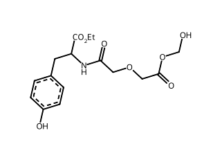 CCOC(=O)C(Cc1ccc(O)cc1)NC(=O)COCC(=O)OCO